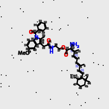 CCC1=C(/C=C/C(C)=C/C=C/C(C)=C(/N)C(=O)OCCNC(=O)Cc2c(C)n(C(=O)c3ccccc3)c3ccc(OC)cc23)C(C)(C)CCC1